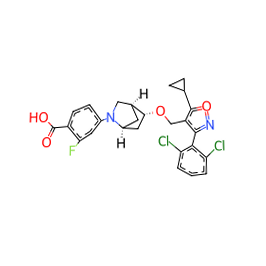 O=C(O)c1ccc(N2C[C@@H]3C[C@H]2C[C@H]3OCc2c(-c3c(Cl)cccc3Cl)noc2C2CC2)cc1F